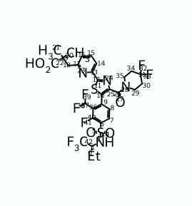 CC[C@H](NS(=O)(=O)c1ccc(-c2sc(-c3cccc(CC(C)(C)C(=O)O)n3)nc2C(=O)N2CCC(F)(F)CC2)c(C(F)F)c1F)C(F)(F)F